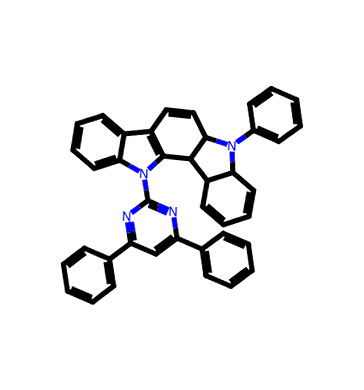 C1=CC2C3c4c(c5ccccc5n4-c4nc(-c5ccccc5)cc(-c5ccccc5)n4)C=CC3N(c3ccccc3)C2C=C1